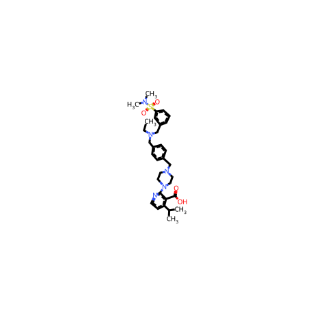 CCN(Cc1ccc(CN2CCN(c3nccc(C(C)C)c3C(=O)O)CC2)cc1)Cc1cccc(S(=O)(=O)N(C)C)c1